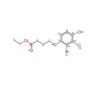 CCOC(=O)CCCOc1ccc(Cl)c(Cl)c1Br